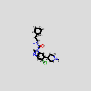 CN1CCC(c2cc3c(cc2Cl)ncn3C(=O)NCCc2ccccc2)CC1